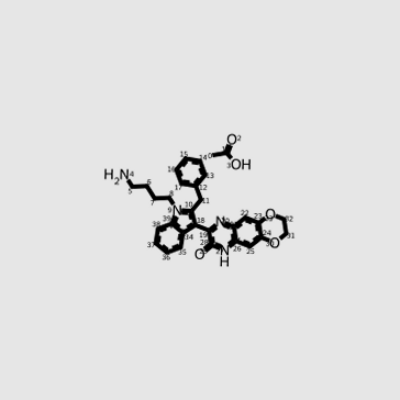 CC(=O)O.NCCCCn1c(Cc2ccccc2)c(-c2nc3cc4c(cc3[nH]c2=O)OCCO4)c2ccccc21